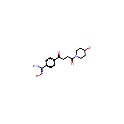 NC(=NO)c1ccc(C(=O)CCC(=O)N2CCC([O])CC2)cc1